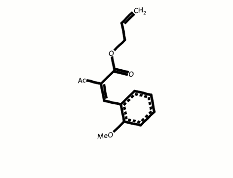 C=CCOC(=O)/C(=C\c1ccccc1OC)C(C)=O